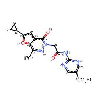 CCOC(=O)c1cnc(NC(=O)Cn2nc(C(C)C)c3oc(C4CC4)cc3c2=O)nc1